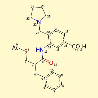 CC(=O)SCC(Cc1ccccc1)C(=O)Nc1cc(C(=O)O)ccc1CN1CCCC1